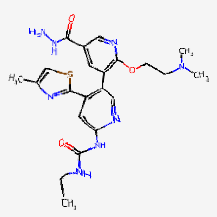 CCNC(=O)Nc1cc(-c2nc(C)cs2)c(-c2cc(C(=O)NN)cnc2OCCN(C)C)cn1